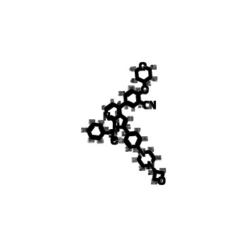 N#Cc1cc(-c2ccnc3c2cc(-c2ccc(N4CCN(C5COC5)CC4)cc2)n3[S+]([O-])c2ccccc2)ccc1OC1CCOCC1